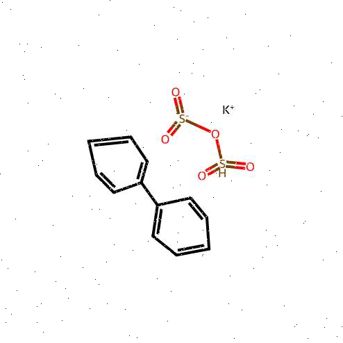 O=[S-](=O)O[SH](=O)=O.[K+].c1ccc(-c2ccccc2)cc1